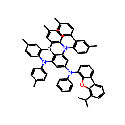 Cc1ccc(-c2cc(C)ccc2N2c3ccc(C)cc3B3c4cc(C)ccc4N(c4ccc(C)cc4)c4cc(N(c5ccccc5)c5cccc6c5oc5c(C(C)C)cccc56)cc2c43)cc1